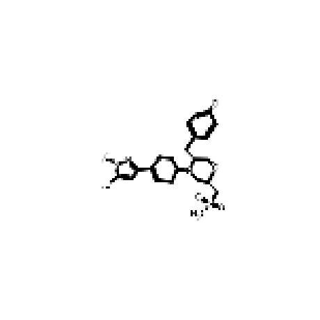 Cc1cc(C2=CCC(N3C[C@H](CS(C)(=O)=O)OC[C@@H]3Cc3ccc(Cl)cc3)CC2)nn1C